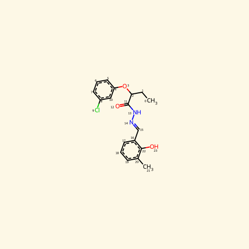 CCC(Oc1cccc(Cl)c1)C(=O)NN=Cc1cccc(C)c1O